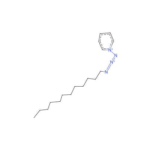 CCCCCCCCCCCCN=[N+]=N[n+]1ccccc1